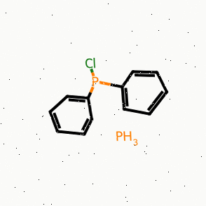 ClP(c1ccccc1)c1ccccc1.P